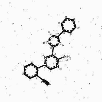 C#Cc1ccccc1-c1cnc(N)c(-c2nnc(-c3ccccc3)o2)n1